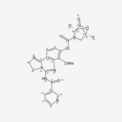 COc1c(OC(=O)N2C[C@H]3C[C@@H]2C(=O)O3)ccc2c1N=C(NC(=O)c1cccnc1)N1CCN=C21